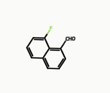 O=Cc1cccc2cccc(F)c12